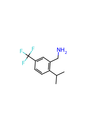 CC(C)c1ccc(C(F)(F)F)cc1CN